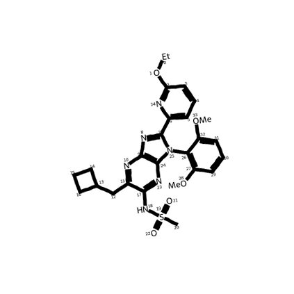 CCOc1cccc(-c2nc3nc(CC4CCC4)c(NS(C)(=O)=O)nc3n2-c2c(OC)cccc2OC)n1